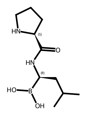 CC(C)C[C@H](NC(=O)[C@@H]1CCCN1)B(O)O